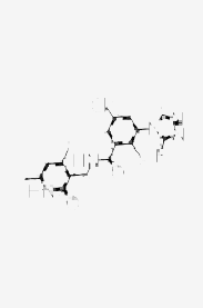 CCc1nncn1-c1cc(Cl)cc(C(=O)NCc2c(C)cc(C)[nH]c2=O)c1C